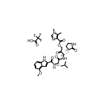 COc1cccc2[nH]c(C(=O)N[C@@H](CC(C)C)C(=O)N[C@@H](C[C@@H]3CCNC3=O)C(=O)COC(=O)c3ncn(C)c3C)cc12.O=C(O)C(F)(F)F